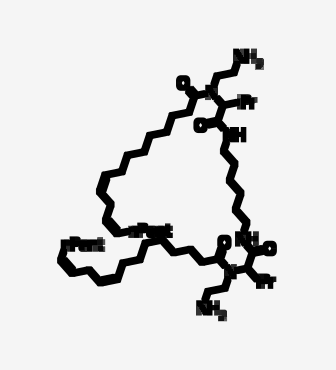 CCCCC/C=C\C/C=C\CCCCCCCC(=O)N(CCN)C(C(=O)NCCCCCCNC(=O)C(C(C)C)N(CCN)C(=O)CCCCCCC/C=C\C/C=C\CCCCC)C(C)C